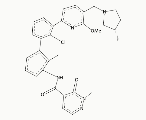 COc1nc(-c2cccc(-c3cccc(NC(=O)c4ccnn(C)c4=O)c3C)c2Cl)ccc1CN1CC[C@H](C)C1